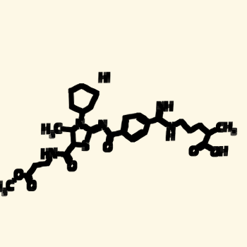 COC(=O)CCNC(=O)C1SC(=NC(=O)c2ccc(C(=N)NCCCC(C)C(=O)O)cc2)N(C2CCCCC2)C1C.I